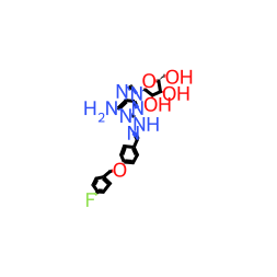 Nc1nc(N/N=C/c2ccc(OCc3ccc(F)cc3)cc2)nc2c1ncn2[C@@H]1O[C@H](CO)[C@@H](O)[C@H]1O